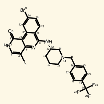 O=c1[nH]cc(I)c2nc(N[C@H]3CCCN(Cc4ccc(C(F)(F)F)cc4)C3)c3ccc(Br)cc3c12